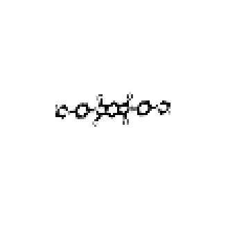 O=c1c2cc3c(=O)n(-c4ccc(-n5ccnc5)cc4)c(=O)c3cc2c(=O)n1-c1ccc(-n2ccnc2)cc1